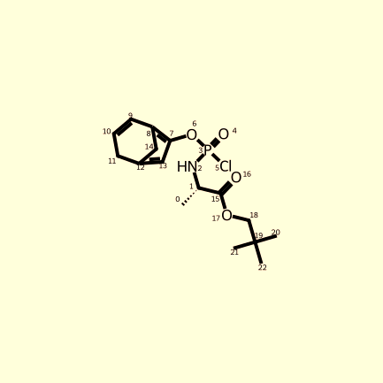 C[C@H](NP(=O)(Cl)OC1=C2C=CCC(=C1)C2)C(=O)OCC(C)(C)C